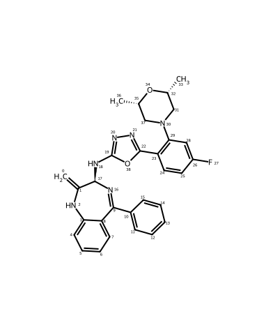 C=C1Nc2ccccc2C(c2ccccc2)=N[C@@H]1Nc1nnc(-c2ccc(F)cc2N2C[C@@H](C)O[C@@H](C)C2)o1